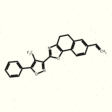 C=Cc1ccc2c(c1)CCc1nc(-c3noc(-c4ccccc4)c3C(F)(F)F)oc1-2